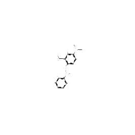 CN(C)c1ccc(/N=N/c2ccccc2)c(CO)c1